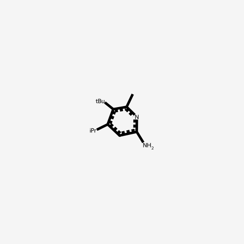 Cc1nc(N)cc(C(C)C)c1C(C)(C)C